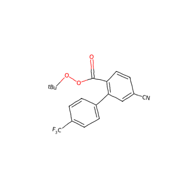 CC(C)(C)OOC(=O)c1ccc(C#N)cc1-c1ccc(C(F)(F)F)cc1